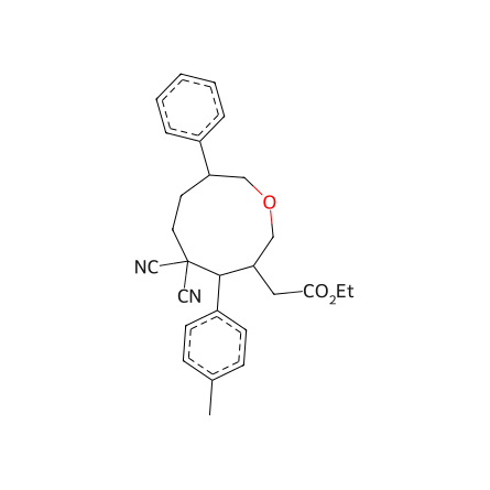 CCOC(=O)CC1COCC(c2ccccc2)CCC(C#N)(C#N)C1c1ccc(C)cc1